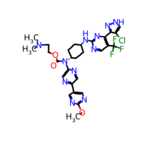 COc1ncc(-c2cnc(N(C(=O)OCCN(C)C)[C@H]3CC[C@H](Nc4ncc(C(F)(F)F)c(-c5n[nH]cc5Cl)n4)CC3)cn2)cn1